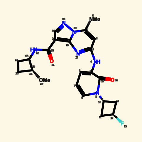 CNc1cc(Nc2cccn([C@H]3C[C@H](F)C3)c2=O)nc2c(C(=O)NC3CC[C@@H]3OC)cnn12